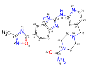 Cc1noc(-c2ccc3nc(Nc4cc(CN5CCN(C(N)=O)CC5)ccn4)[nH]c3c2)n1